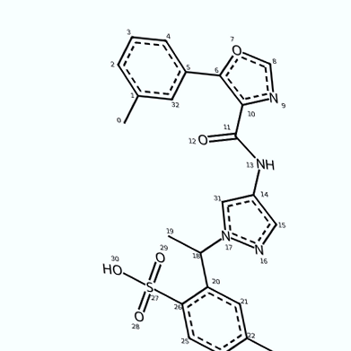 Cc1cccc(-c2ocnc2C(=O)Nc2cnn(C(C)c3cc(C)ccc3S(=O)(=O)O)c2)c1